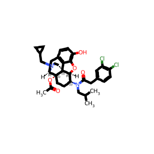 CC(=O)O[C@@]12CC[C@H](N(CC(C)C)C(=O)Cc3ccc(Cl)c(Cl)c3)[C@@H]3Oc4c(O)ccc5c4[C@@]31CCN(CC1CC1)[C@@H]2C5